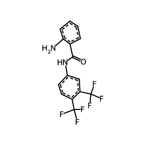 Nc1ccccc1C(=O)Nc1ccc(C(F)(F)F)c(C(F)(F)F)c1